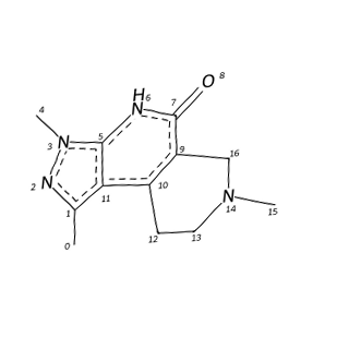 Cc1nn(C)c2[nH]c(=O)c3c(c12)CCN(C)C3